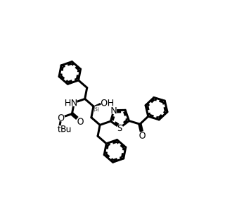 CC(C)(C)OC(=O)NC(Cc1ccccc1)[C@@H](O)CC(Cc1ccccc1)c1ncc(C(=O)c2ccccc2)s1